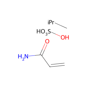 C=CC(N)=O.CC(C)C.O=S(=O)(O)O